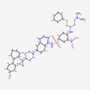 CN(C)CCC(CSc1ccccc1)Nc1ccc(S(=O)(=O)Nc2ncnc3cc(N4CCN(C5(c6ccccc6-c6ccc(Cl)cc6)CC5)CC4)ccc23)cc1[N+](=O)[O-]